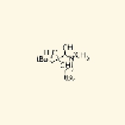 CC(N(C)CCC(C)(C)C)C(C)(C)CC(C)(C)C